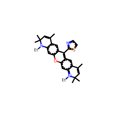 CCN1c2cc3c(cc2C(C)=CC1(C)C)C(c1nccs1)=c1cc2c(cc1O3)=[N+](CC)C(C)(C)C=C2C